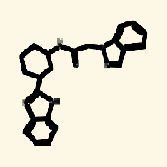 O=C(Cn1ncc2ccccc21)NC1CCCC(c2nc3ccccc3[nH]2)C1